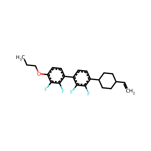 C=CC1CCC(c2ccc(-c3ccc(OCCC)c(F)c3F)c(F)c2F)CC1